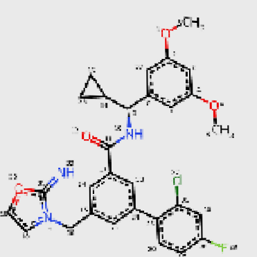 COc1cc(OC)cc([C@@H](NC(=O)c2cc(Cn3ccoc3=N)cc(-c3ccc(F)cc3Cl)c2)C2CC2)c1